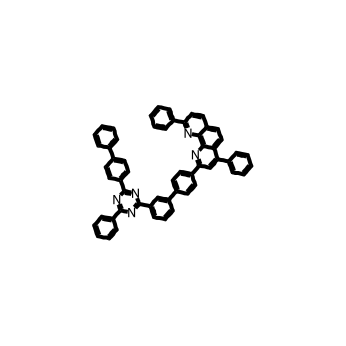 c1ccc(-c2ccc(-c3nc(-c4ccccc4)nc(-c4cccc(-c5ccc(-c6cc(-c7ccccc7)c7ccc8ccc(-c9ccccc9)nc8c7n6)cc5)c4)n3)cc2)cc1